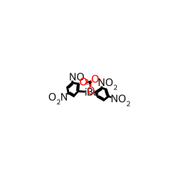 CCC(C)c1cc([N+](=O)[O-])cc([N+](=O)[O-])c1OC(=O)Oc1ccc([N+](=O)[O-])cc1[N+](=O)[O-]